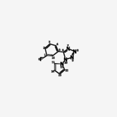 Fc1cccc(-c2nnnn2-n2cccc2)c1